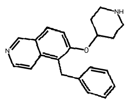 c1ccc(Cc2c(OC3CCNCC3)ccc3cnccc23)cc1